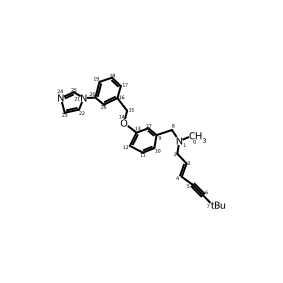 CN(CC=CC#CC(C)(C)C)Cc1cccc(OCc2cccc(-n3ccnc3)c2)c1